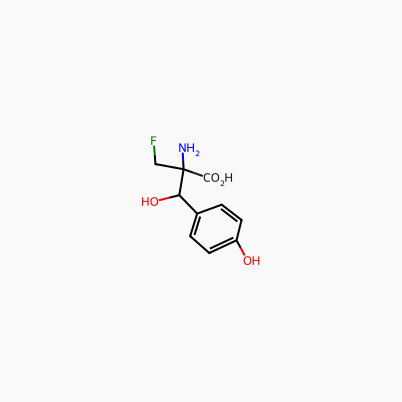 NC(CF)(C(=O)O)C(O)c1ccc(O)cc1